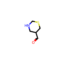 O=[C]C1CNCSC1